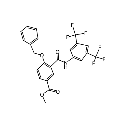 COC(=O)c1ccc(OCc2ccccc2)c(C(=O)Nc2cc(C(F)(F)F)cc(C(F)(F)F)c2)c1